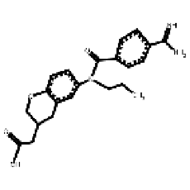 CCCN(C(=O)c1ccc(C(=N)N)cc1)c1ccc2c(c1)CC(CC(=O)O)CO2